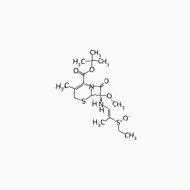 CC[S+]([O-])/C(C)=C/N[C@]1(OC)C(=O)N2C(C(=O)OC(C)(C)C)=C(C)CS[C@@H]21